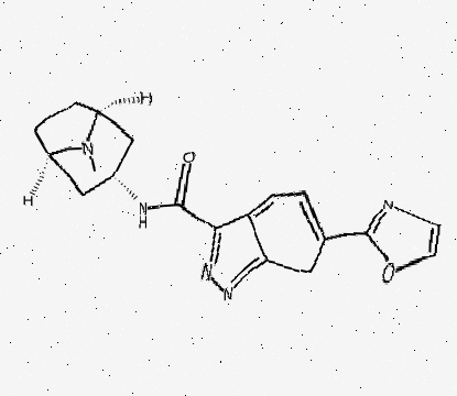 CN1[C@@H]2CC[C@H]1C[C@H](NC(=O)C1=NN=C3CC(c4ncco4)=CC=C31)C2